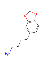 NCCCCc1ccc2c(c1)OCO2